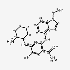 CC(C)Cn1ccc2c(Nc3nc(NC4CCCCC4N)c(F)cc3C(N)=O)ccnc21